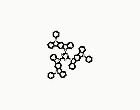 c1ccc(-n2c3ccccc3c3cc4c(cc32)c2ccccc2n4-c2nc(-n3c4ccccc4c4cc5c(cc43)c3ccccc3n5-c3ccccc3)nc(-n3c4ccccc4c4cc5c(cc43)c3ccccc3n5-c3ccccc3)n2)cc1